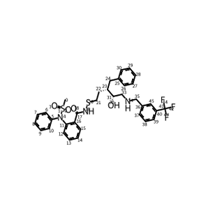 CS(=O)(=O)N(c1ccccc1)c1ccccc1C(=O)NSCC[C@H](Cc1ccccc1)[C@@H](O)CNCc1cccc(C(F)(F)F)c1